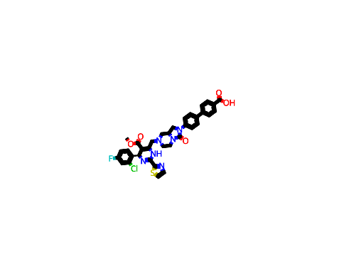 COC(=O)C1=C(CN2CCN3C(=O)N(c4ccc(-c5ccc(C(=O)O)cc5)cc4)CC3C2)NC(c2nccs2)=N[C@H]1c1ccc(F)cc1Cl